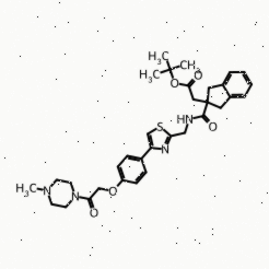 CN1CCN(C(=O)COc2ccc(-c3csc(CNC(=O)C4(CC(=O)OC(C)(C)C)Cc5ccccc5C4)n3)cc2)CC1